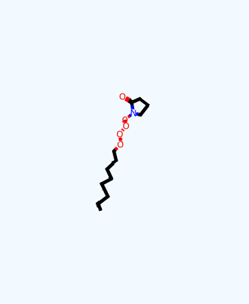 CCCCCCCCOOOON1CCCC1=O